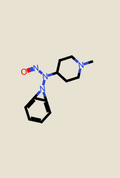 CN1CCC(N(N=O)N2c3ccccc32)CC1